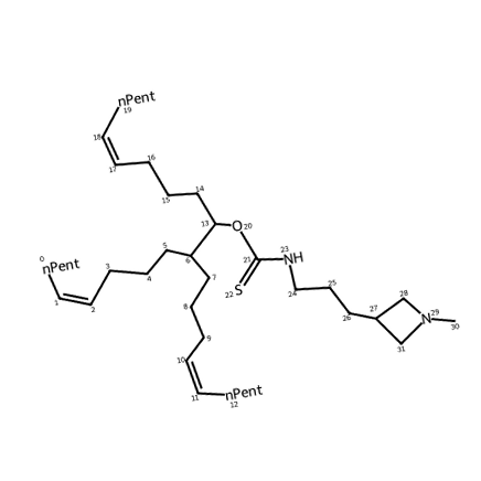 CCCCC/C=C\CCCC(CCC/C=C\CCCCC)C(CCC/C=C\CCCCC)OC(=S)NCCCC1CN(C)C1